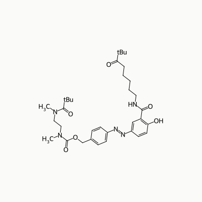 CN(CCN(C)C(=O)C(C)(C)C)C(=O)OCc1ccc(/N=N/c2ccc(O)c(C(=O)NCCCCCC(=O)C(C)(C)C)c2)cc1